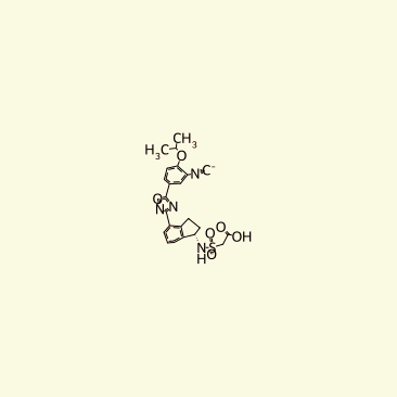 [C-]#[N+]c1cc(-c2nc(-c3cccc4c3CC[C@@H]4NS(=O)(=O)CC(=O)O)no2)ccc1OC(C)C